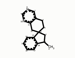 CC1CC2(CCc3cncnc3C2)c2ccccc21